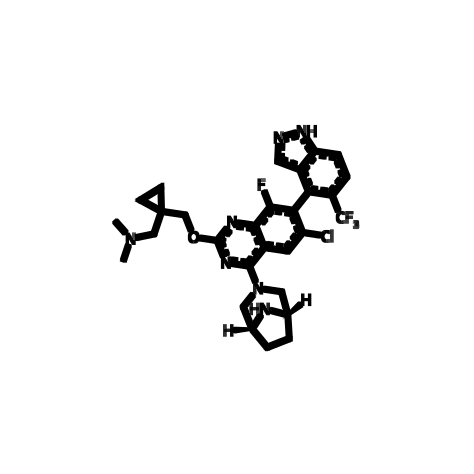 CN(C)CC1(COc2nc(N3C[C@H]4CC[C@@H](C3)N4)c3cc(Cl)c(-c4c(C(F)(F)F)ccc5[nH]ncc45)c(F)c3n2)CC1